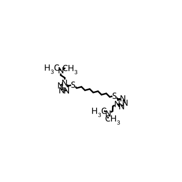 CN(C)CCn1nnnc1SCCCCCCCCCSc1nnnn1CCN(C)C